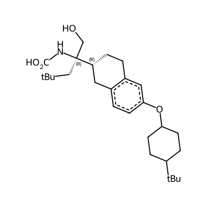 CC(C)(C)C[C@@](CO)(NC(=O)O)[C@@H]1CCc2cc(OC3CCC(C(C)(C)C)CC3)ccc2C1